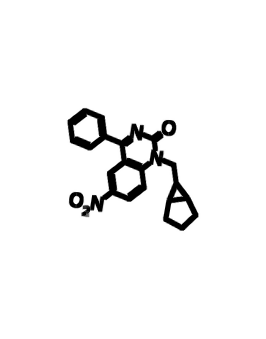 O=c1nc(-c2ccccc2)c2cc([N+](=O)[O-])ccc2n1CC1C2CCCC21